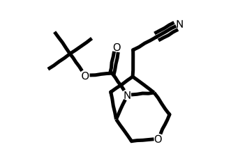 CC(C)(C)OC(=O)N1C2COCC1C(CC#N)C2